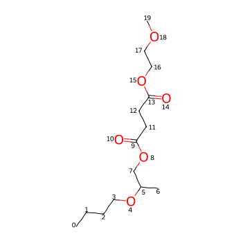 CCCCOC(C)COC(=O)CCC(=O)OCCOC